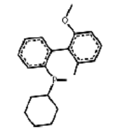 COc1cccc(C)c1-c1ccccc1P(C)C1CCCCC1